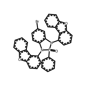 O=P1(c2ccccc2)N(c2cccc3oc4ccccc4c23)c2ccc(Br)cc2N1c1cccc2oc3ccccc3c12